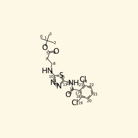 CC(C)(C)OC(=O)CCNc1nnc(NC(=O)c2c(Cl)cccc2Cl)s1